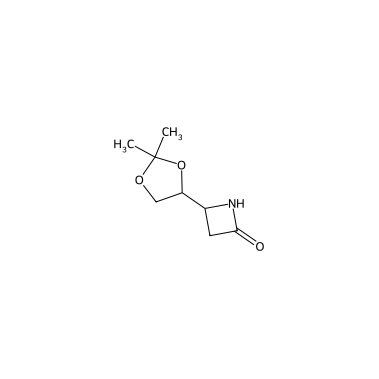 CC1(C)OCC(C2CC(=O)N2)O1